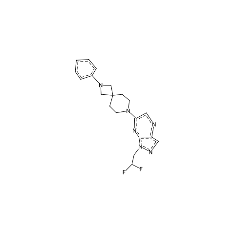 FC(F)Cn1ncc2ncc(N3CCC4(CC3)CN(c3ccccc3)C4)nc21